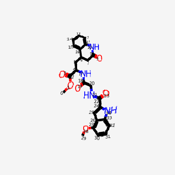 COC(=O)C(CC1CC(=O)Nc2ccccc21)NC(=O)CNC(=O)c1cc2c(OC)cccc2[nH]1